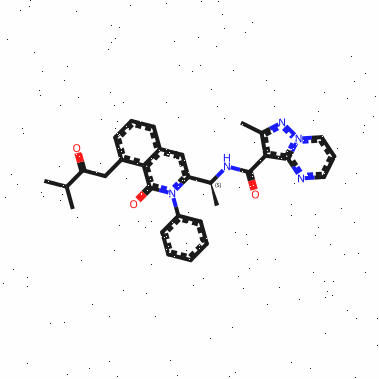 Cc1nn2cccnc2c1C(=O)N[C@@H](C)c1cc2cccc(CC(=O)C(C)C)c2c(=O)n1-c1ccccc1